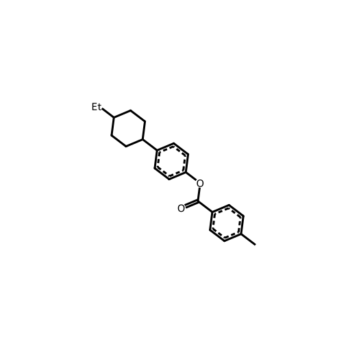 CCC1CCC(c2ccc(OC(=O)c3ccc(C)cc3)cc2)CC1